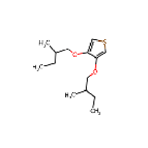 CCC(C)COc1cscc1OCC(C)CC